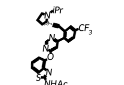 CC(=O)Nc1nc2c(Oc3cc(-c4ccc(C(F)(F)F)cc4C#C[C@@H]4CCCN4C(C)C)ncn3)cccc2s1